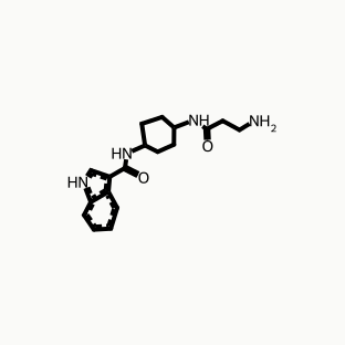 NCCC(=O)NC1CCC(NC(=O)c2c[nH]c3ccccc23)CC1